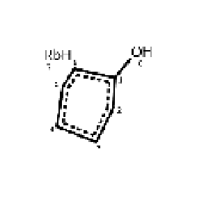 Oc1ccccc1.[RbH]